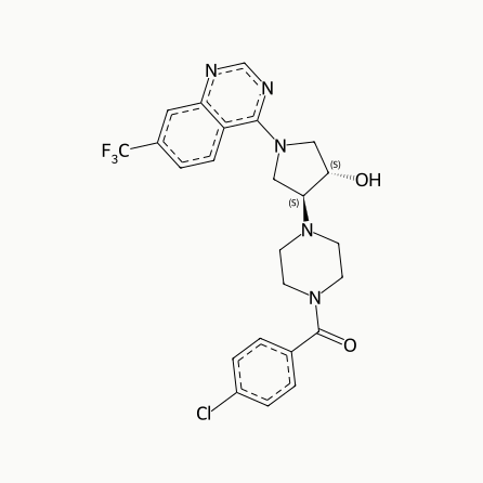 O=C(c1ccc(Cl)cc1)N1CCN([C@H]2CN(c3ncnc4cc(C(F)(F)F)ccc34)C[C@@H]2O)CC1